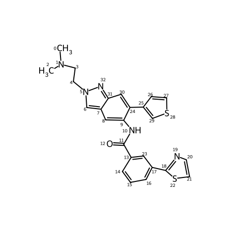 CN(C)CCn1cc2cc(NC(=O)c3cccc(-c4nccs4)c3)c(-c3ccsc3)cc2n1